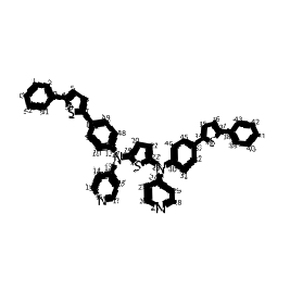 c1ccc(-c2ccc(-c3ccc(N(c4ccncc4)c4ccc(N(c5ccncc5)c5ccc(-c6ccc(-c7ccccc7)s6)cc5)s4)cc3)s2)cc1